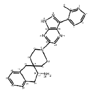 Cc1ncccc1-c1n[nH]c2nc(N3CCC4(CC3)Cc3ccccc3C[C@H]4N)cnc12